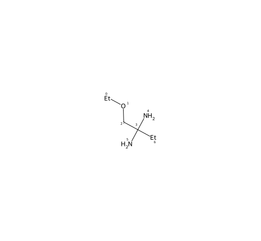 CCO[CH]C(N)(N)CC